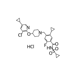 Cl.O=C(NS(=O)(=O)C1CC1)c1cc(C2CC2)c(CN2CCC(Oc3ncc(C4CC4)cc3Cl)CC2)cc1F